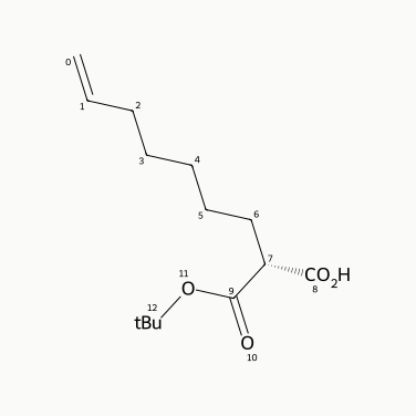 C=CCCCCC[C@H](C(=O)O)C(=O)OC(C)(C)C